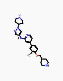 N#Cc1cc(-c2ccnc(Nc3cnn(C4CCNCC4)c3)c2)ccc1OCC1CCNCC1